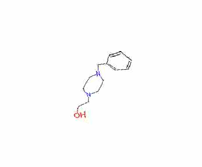 OCCN1CCN(Cc2ccccc2)CC1